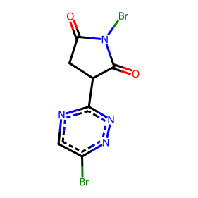 O=C1CC(c2ncc(Br)nn2)C(=O)N1Br